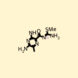 CS/C(N)=N\C(=O)c1nc(C)c(N)nc1N